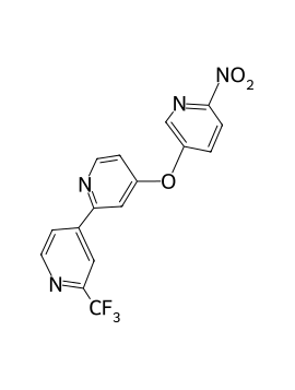 O=[N+]([O-])c1ccc(Oc2ccnc(-c3ccnc(C(F)(F)F)c3)c2)cn1